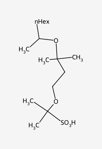 CCCCCCC(C)OC(C)(C)CCOC(C)(C)S(=O)(=O)O